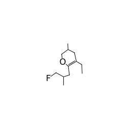 CCC1=C(CC(C)CF)OCC(C)C1